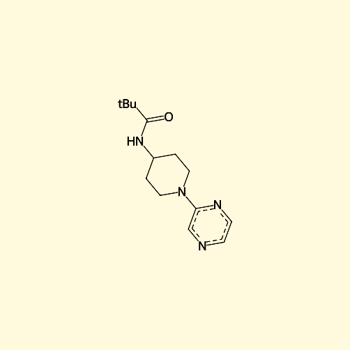 CC(C)(C)C(=O)NC1CCN(c2cnccn2)CC1